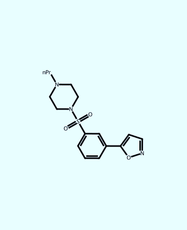 CCCN1CCN(S(=O)(=O)c2cccc(-c3ccno3)c2)CC1